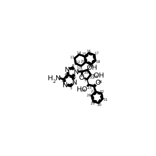 Nc1ncnc2c1ncn2[C@]1(C2CCCc3ccccc32)O[C@H](C(O)C(=O)c2ccccc2)[C@@H](O)[C@H]1O